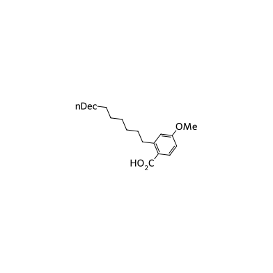 CCCCCCCCCCCCCCCCc1cc(OC)ccc1C(=O)O